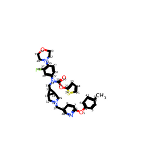 Cc1ccc(Oc2ccc(CN3CC4C(C3)C4CN(C(=O)Oc3cccs3)c3ccc(N4CCOCC4)c(F)c3)cn2)cc1